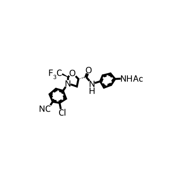 CC(=O)Nc1ccc(NC(=O)[C@@H]2CN(c3ccc(C#N)c(Cl)c3)[C@@H](C(F)(F)F)O2)cc1